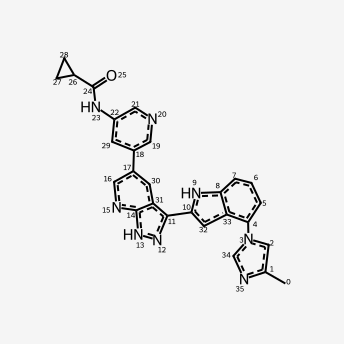 Cc1cn(-c2cccc3[nH]c(-c4n[nH]c5ncc(-c6cncc(NC(=O)C7CC7)c6)cc45)cc23)cn1